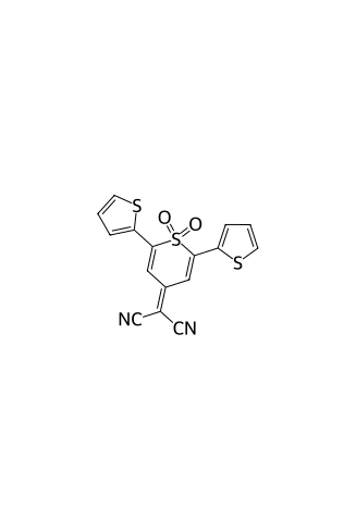 N#CC(C#N)=C1C=C(c2cccs2)S(=O)(=O)C(c2cccs2)=C1